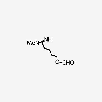 CNC(=N)CCCCO[C]=O